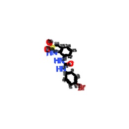 O=C(Nc1ccc(Br)cc1)Nc1cccc2c1NS(=O)(=O)C2